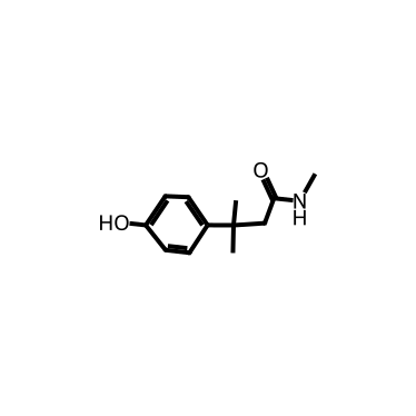 CNC(=O)CC(C)(C)c1ccc(O)cc1